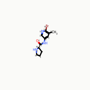 Cc1cc(NC(=O)[C@H]2CCCN2)cnc1Br